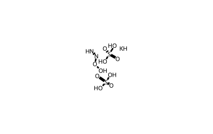 N=NOO.O=S(=O)(O)O.O=S(=O)(O)O.[KH]